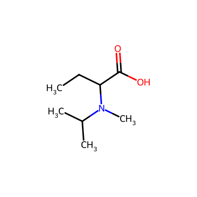 CCC(C(=O)O)N(C)C(C)C